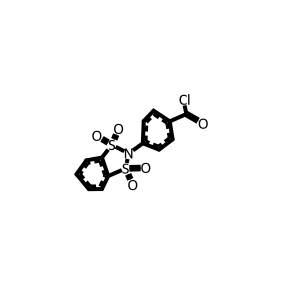 O=C(Cl)c1ccc(N2S(=O)(=O)c3ccccc3S2(=O)=O)cc1